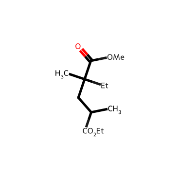 CCOC(=O)C(C)CC(C)(CC)C(=O)OC